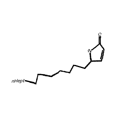 CCCCCCCCCCCCCCC1C=CC(=O)[N]1